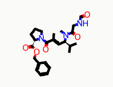 C/C(=C\[C@H](C(C)C)N(C)C(=O)CNC=O)C(=O)N1CCC[C@H]1C(=O)OCc1ccccc1